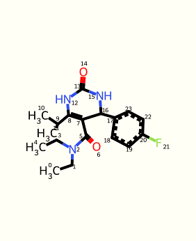 CCN(CC)C(=O)C1=C(C(C)C)NC(=O)NC1c1ccc(F)cc1